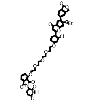 CCOc1cc2oc(-c3ccc(OCCOCCOCCOCCOc4cccc5c4C(=O)N(C4CCC(=O)NC4=O)C5=O)cc3Cl)cc(=O)c2cc1-c1ccc2c(c1)COC2=O